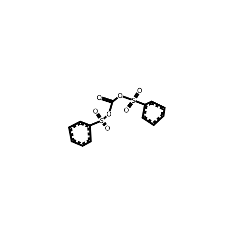 O=C(OS(=O)(=O)c1ccccc1)OS(=O)(=O)c1ccccc1